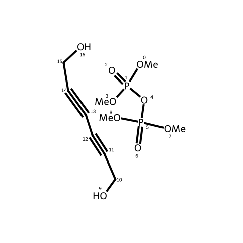 COP(=O)(OC)OP(=O)(OC)OC.OCC#CC#CCO